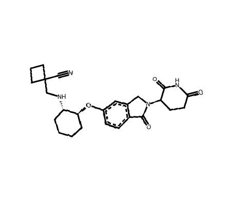 N#CC1(CN[C@H]2CCCC[C@@H]2Oc2ccc3c(c2)CN(C2CCC(=O)NC2=O)C3=O)CCC1